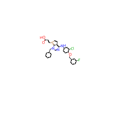 O=C(O)/C=C/S1=C2C(=C(Nc3ccc(OCc4cccc(F)c4)c(Cl)c3)N=CN2Cc2ccccc2)C=C1